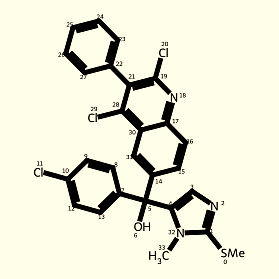 CSc1ncc(C(O)(c2ccc(Cl)cc2)c2ccc3nc(Cl)c(-c4ccccc4)c(Cl)c3c2)n1C